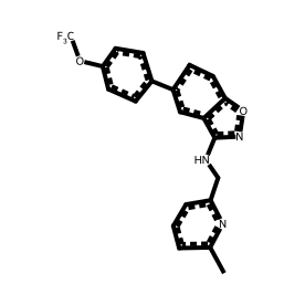 Cc1cccc(CNc2noc3ccc(-c4ccc(OC(F)(F)F)cc4)cc23)n1